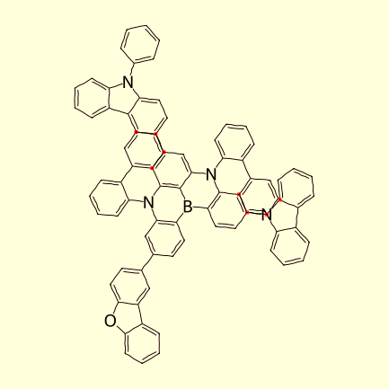 c1ccc(-c2ccccc2N2c3cc(-c4ccc5oc6ccccc6c5c4)ccc3B3c4ccc(-n5c6ccccc6c6ccccc65)cc4N(c4ccccc4-c4ccccc4)c4cc(-c5ccc6c(c5)c5ccccc5n6-c5ccccc5)cc2c43)cc1